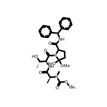 COC1(OC)CCC(C(=O)NC(c2ccccc2)c2ccccc2)N1C(=O)[C@@H](NC(=O)[C@H](C)N(C)C(=O)OC(C)(C)C)[C@H](C)O